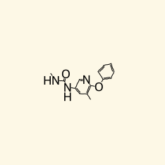 CNC(=O)Nc1cnc(Oc2ccccc2)c(C)c1